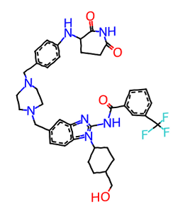 O=C1CCC(Nc2ccc(CN3CCN(Cc4ccc5c(c4)nc(NC(=O)c4cccc(C(F)(F)F)c4)n5C4CCC(CO)CC4)CC3)cc2)C(=O)N1